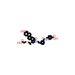 C=C(CSCCC(=O)O)[C@@H]1CC[C@]2(C(=O)NCCc3cccc(C(=O)NCc4ccc(C(=O)O)cc4)c3)CC[C@]3(C)C(CCC4[C@@]5(C)CC[C@H](O)C(C)(C)C5CC[C@]43C)C12